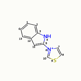 c1ccc2[nH]c(-[n+]3ccsc3)cc2c1